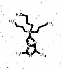 CCC[CH2][Sn]([CH2]CCC)([CH2]CCC)[c]1cn2c(C)nc(C)c2s1